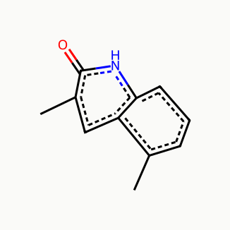 Cc1cc2c(C)cccc2[nH]c1=O